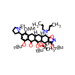 C=CCN(CC=C)[C@@H]1c2onc(OCCCC)c2C(=O)[C@@]2(O[Si](C)(C)C(C)(C)C)C(O)=C3C(=O)c4c(OCCCC)cc(C5CCCN5CC)c(OC)c4C[C@H]3C[C@@H]12